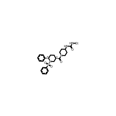 CCNC(=O)NC1CCN(C(=O)[C@@H]2CC[C@H](c3ccccc3)N(S(=O)(=O)c3ccccc3)C2)CC1